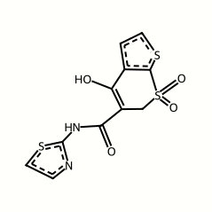 O=C(Nc1nccs1)C1=C(O)c2ccsc2S(=O)(=O)C1